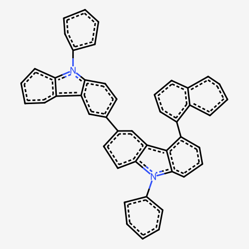 c1ccc(-n2c3ccccc3c3cc(-c4ccc5c(c4)c4c(-c6cccc7ccccc67)cccc4n5-c4ccccc4)ccc32)cc1